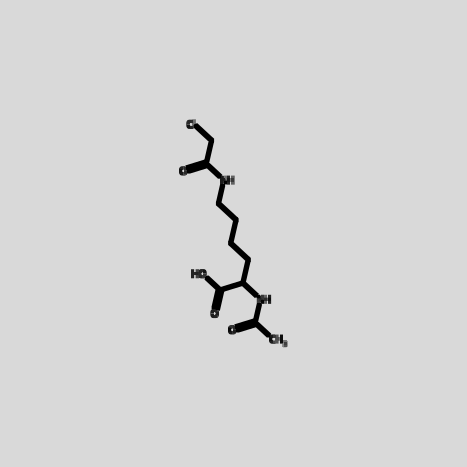 CC(=O)NC(CCCCNC(=O)CCl)C(=O)O